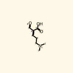 CN(C)CCC=C(C=O)C(=O)O